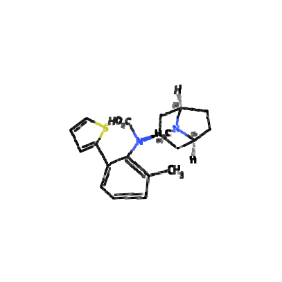 Cc1cccc(-c2cccs2)c1N(C(=O)O)[C@H]1C[C@H]2CC[C@@H](C1)N2C